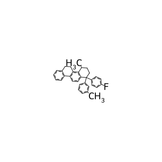 Cc1cccc(C2(c3ccc(F)cc3)CCC(C)c3c2ccc2c3CCc3ccccc3-2)c1